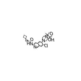 C[C@@]1(N2CCN(c3cc4cc(NC(=O)[C@@H]5CC56CCC6)ncc4cc3Cl)CC2)COC[C@@H]1O